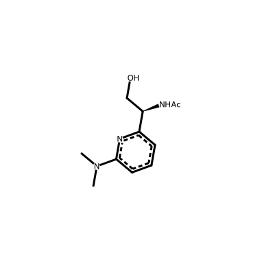 CC(=O)N[C@H](CO)c1cccc(N(C)C)n1